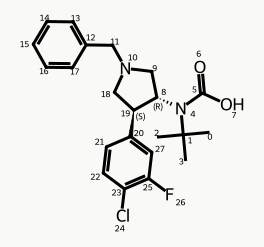 CC(C)(C)N(C(=O)O)[C@H]1CN(Cc2ccccc2)C[C@@H]1c1ccc(Cl)c(F)c1